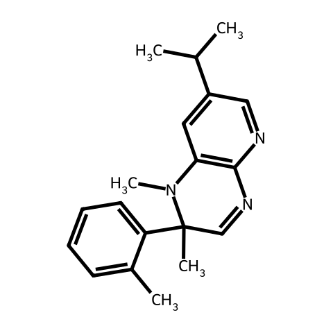 Cc1ccccc1C1(C)C=Nc2ncc(C(C)C)cc2N1C